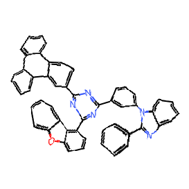 c1ccc(-c2nc3ccccc3n2-c2cccc(-c3nc(-c4ccc5c6ccccc6c6ccccc6c5c4)nc(-c4cccc5oc6ccccc6c45)n3)c2)cc1